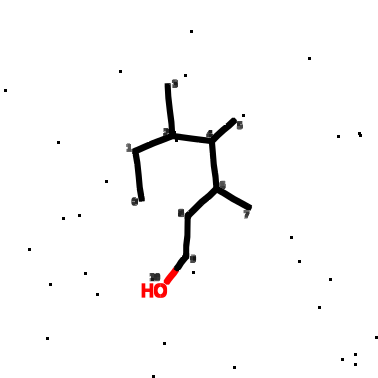 CCC(C)C(C)C(C)CCO